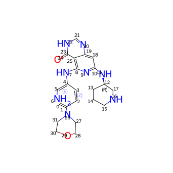 C=C(/C=C\C(=C/N)Nc1nc(N[C@@H]2CCCNC2)cc2nc[nH]c(=O)c12)N1CCOCC1